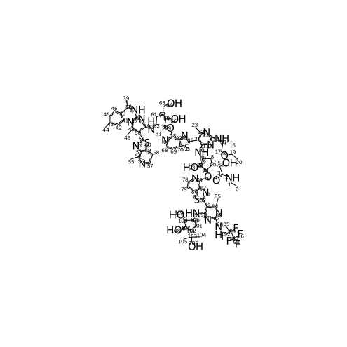 CCNC(=O)C(O)[C@H]1C[C@@H](Nc2nc(N[C@H](C)COCC)nc(C)c2-c2nc3c(O[C@@]4(C)C(Nc5nc(N[C@H](C)c6ccc(C)cc6)nc(C)c5-c5nc6c(C)nccc6s5)C[C@H](CO)[C@H]4O)nccc3s2)[C@H](O)[C@@H]1Oc1nccc2sc(-c3c(C)nc(NCC(F)(F)C(F)(F)F)nc3N[C@@H]3C[C@H](C(C)(C)O)[C@@H](O)[C@H]3O)nc12